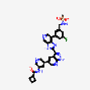 CS(=O)(=O)NCc1cc(F)cc(-c2cncc3[nH]c(-c4n[nH]c5ncc(-c6cncc(NC(=O)C7CCC7)c6)cc45)nc23)c1